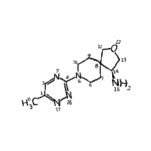 Cc1cnc(N2CCC3(CC2)COC[C@H]3N)nn1